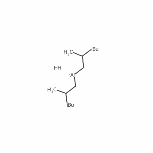 CCC(C)C(C)[CH2][Al][CH2]C(C)C(C)CC.[HH]